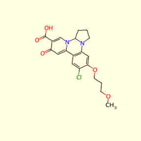 COCCCOc1cc2c(cc1Cl)-c1cc(=O)c(C(=O)O)cn1C1CCCN21